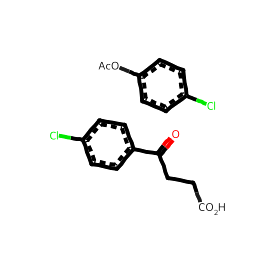 CC(=O)Oc1ccc(Cl)cc1.O=C(O)CCC(=O)c1ccc(Cl)cc1